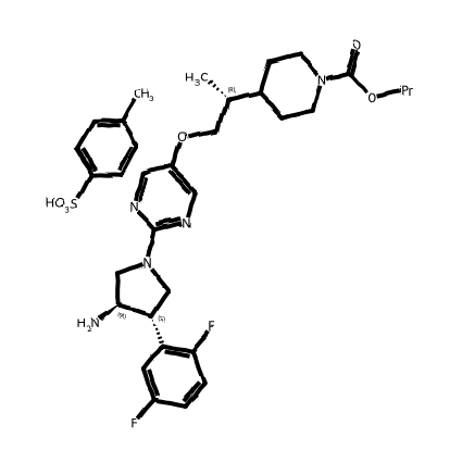 CC(C)OC(=O)N1CCC([C@@H](C)COc2cnc(N3C[C@H](c4cc(F)ccc4F)[C@@H](N)C3)nc2)CC1.Cc1ccc(S(=O)(=O)O)cc1